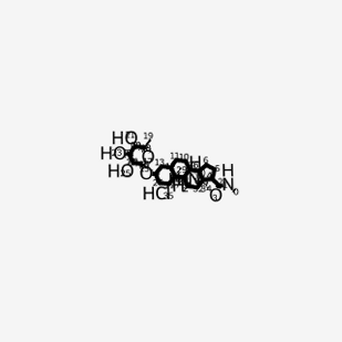 CNC(=O)C1CC[C@@]2(N)[C@@H]3CCC4CC(O[C@@H]5O[C@H](C)[C@@H](O)[C@H](O)[C@@H]5O)CC[C@]4(C)[C@@H]3CC[C@]12C.Cl